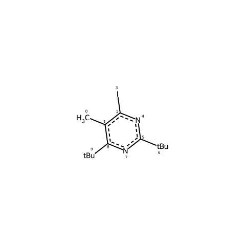 Cc1c(I)nc(C(C)(C)C)nc1C(C)(C)C